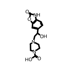 O=C(O)N1CCN(CC(O)c2ccc3[nH]c(=O)oc3c2)CC1